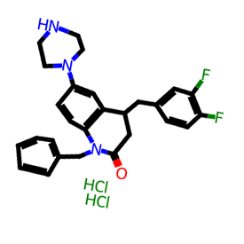 Cl.Cl.O=C1CC(Cc2ccc(F)c(F)c2)c2cc(N3CCNCC3)ccc2N1Cc1ccccc1